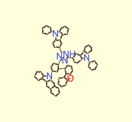 c1ccc(-n2c3ccccc3c3cc(C4=NC(c5ccc(-n6c7ccccc7c7cc8ccccc8cc76)cc5-c5cccc6oc7ccccc7c56)=NC(c5ccc6c(c5)c5ccccc5n6-c5ccccc5)N4)ccc32)cc1